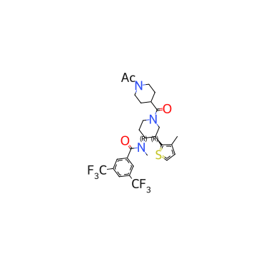 CC(=O)N1CCC(C(=O)N2CC[C@@H](N(C)C(=O)c3cc(C(F)(F)F)cc(C(F)(F)F)c3)[C@H](c3sccc3C)C2)CC1